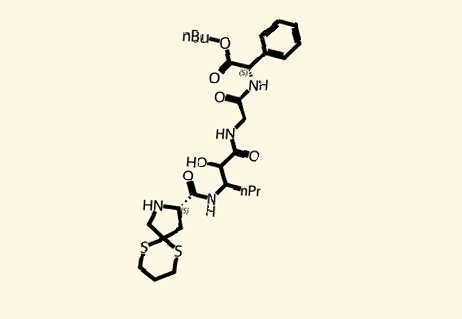 CCCCOC(=O)[C@@H](NC(=O)CNC(=O)C(O)C(CCC)NC(=O)[C@@H]1CC2(CN1)SCCCS2)c1ccccc1